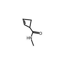 CNC(=O)C1C=CC1